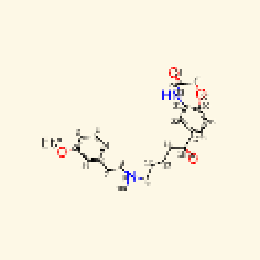 CCOc1cccc(CCN(C)CCCCC(=O)c2ccc3c(c2)NC(=O)CO3)c1